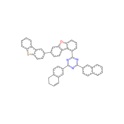 C1=Cc2cc(-c3nc(-c4ccc5ccccc5c4)nc(-c4cccc5oc6cc(-c7ccc8sc9ccccc9c8c7)ccc6c45)n3)ccc2CC1